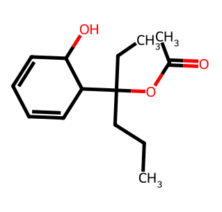 CCCC(CC)(OC(C)=O)C1C=CC=CC1O